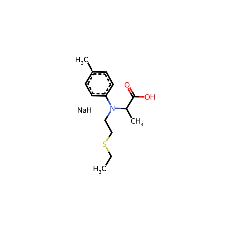 CCSCCN(c1ccc(C)cc1)C(C)C(=O)O.[NaH]